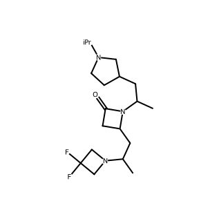 CC(C)N1CCC(CC(C)N2C(=O)CC2CC(C)N2CC(F)(F)C2)C1